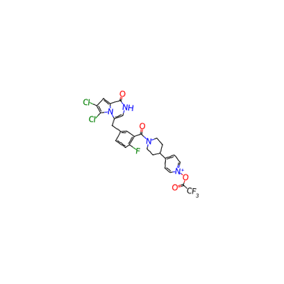 O=C(c1cc(Cc2c[nH]c(=O)c3cc(Cl)c(Cl)n23)ccc1F)N1CCC(c2cc[n+](OC(=O)C(F)(F)F)cc2)CC1